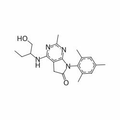 CCC(CO)Nc1nc(C)nc2c1CC(=O)N2c1c(C)cc(C)cc1C